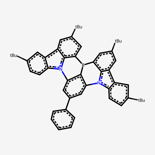 CC(C)(C)c1ccc2c(c1)c1cc(C(C)(C)C)cc3c1n2-c1cc(-c2ccccc2)cc2c1B3c1cc(C(C)(C)C)cc3c4cc(C(C)(C)C)ccc4n-2c13